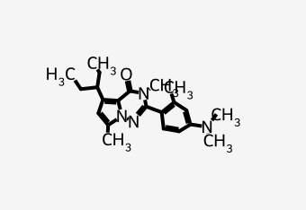 CCC(CC)c1cc(C)n2nc(-c3ccc(N(C)C)cc3C)n(C)c(=O)c12